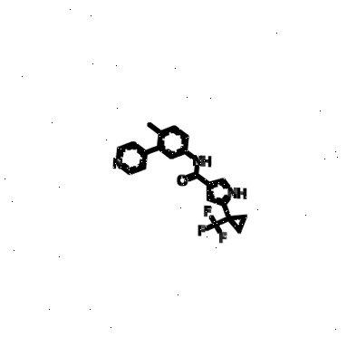 Cc1ccc(NC(=O)c2c[nH]c(C3(C(F)(F)F)CC3)c2)cc1-c1ccncc1